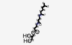 CC(C)=CCC/C(C)=C/CC/C(C)=C/CCC(=O)OCC(O)CO